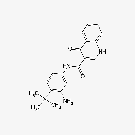 CC(C)(C)c1ccc(NC(=O)c2c[nH]c3ccccc3c2=O)cc1N